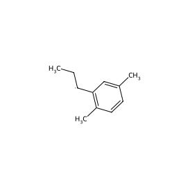 CC[CH]c1cc(C)ccc1C